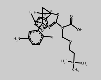 C[Si](C)(C)CCOCN(C(=O)O)C1=N[C@](CF)(c2cc(N)ccc2F)[C@@H]2C[C@]2(c2ccon2)S1